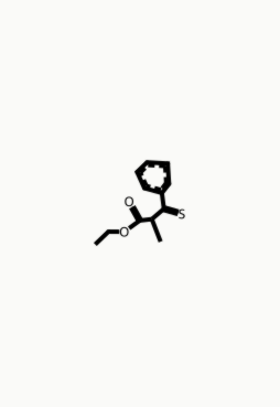 CCOC(=O)C(C)C(=S)c1ccccc1